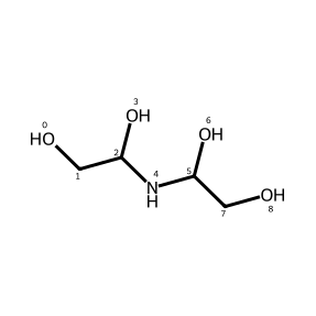 OCC(O)NC(O)CO